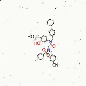 Cc1ccc(S(=O)(=O)N(CC(=O)N(Cc2ccc(C3CCCCC3)cc2)c2ccc(C(=O)O)c(O)c2)Cc2ccc(C#N)cc2)cc1